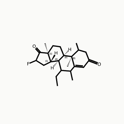 CCC1C(C)C2=CC(=O)CC(C)[C@]2(C)[C@@H]2CC[C@]3(C)C(=O)C(F)C[C@H]3[C@H]12